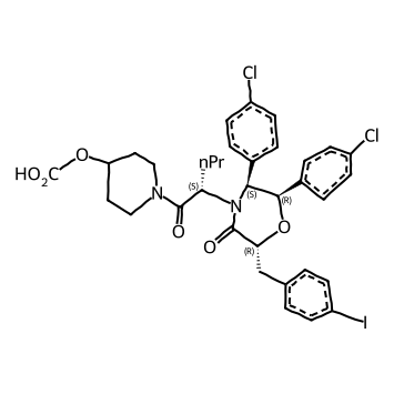 CCC[C@@H](C(=O)N1CCC(OC(=O)O)CC1)N1C(=O)[C@@H](Cc2ccc(I)cc2)O[C@H](c2ccc(Cl)cc2)[C@@H]1c1ccc(Cl)cc1